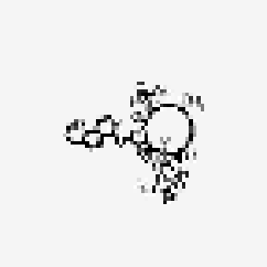 C[C@H]1CCC=C[C@@H]2C[C@@]2(C(=O)NS(=O)(=O)C2(C)CC2)NC(=O)[C@@H]2C[C@@H](Oc3nccc4c5c(ccc34)CCCO5)CN2C(=O)[C@@H](NC(=O)O)[C@H](C)C1